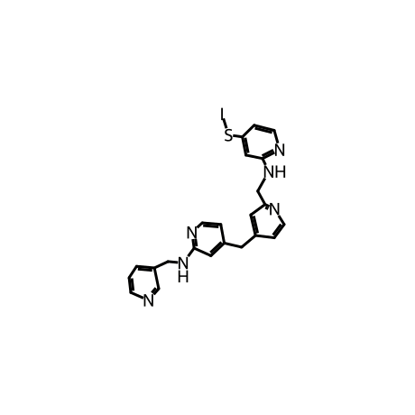 ISc1ccnc(NCc2cc(Cc3ccnc(NCc4cccnc4)c3)ccn2)c1